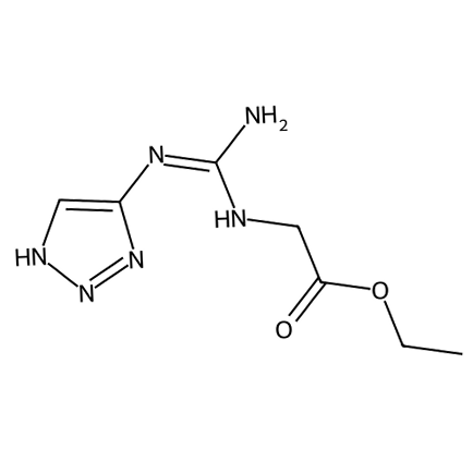 CCOC(=O)CNC(N)=Nc1c[nH]nn1